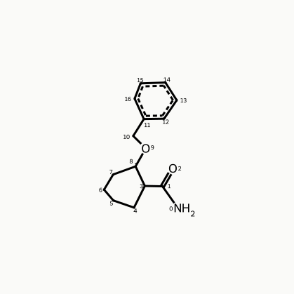 NC(=O)C1CCCC[C]1OCc1ccccc1